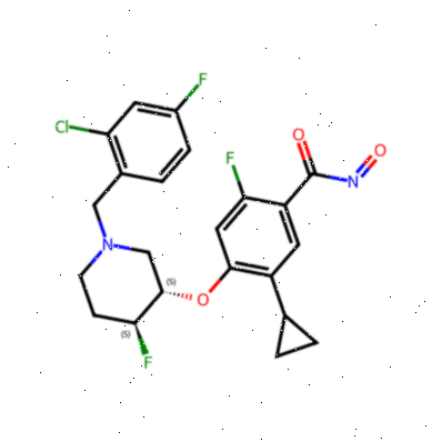 O=NC(=O)c1cc(C2CC2)c(O[C@H]2CN(Cc3ccc(F)cc3Cl)CC[C@@H]2F)cc1F